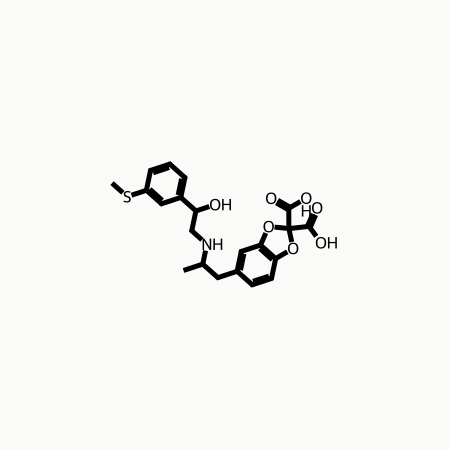 CSc1cccc(C(O)CNC(C)Cc2ccc3c(c2)OC(C(=O)O)(C(=O)O)O3)c1